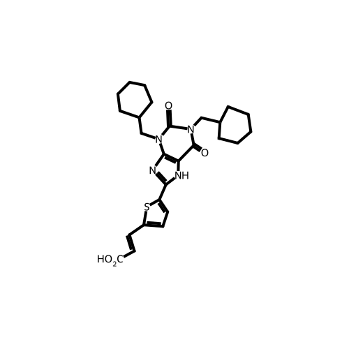 O=C(O)/C=C/c1ccc(-c2nc3c([nH]2)c(=O)n(CC2CCCCC2)c(=O)n3CC2CCCCC2)s1